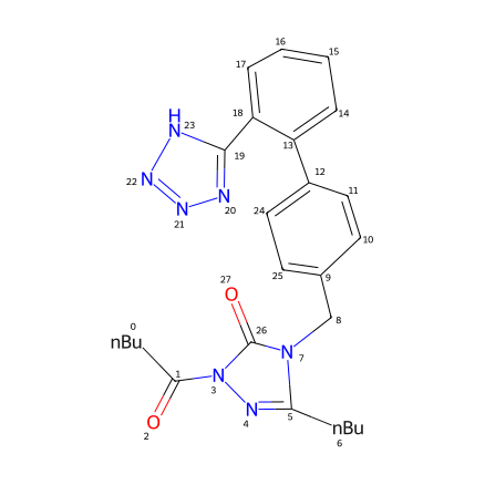 CCCCC(=O)n1nc(CCCC)n(Cc2ccc(-c3ccccc3-c3nnn[nH]3)cc2)c1=O